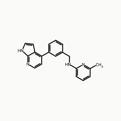 Cc1cccc(NCc2cccc(-c3ccnc4[nH]ccc34)c2)n1